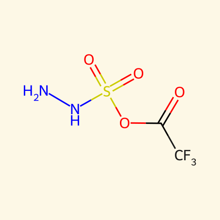 NNS(=O)(=O)OC(=O)C(F)(F)F